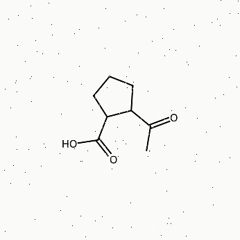 [CH2]C(=O)C1CCCC1C(=O)O